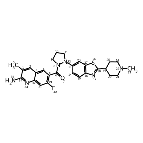 Cc1cc2cc(C(=O)N3CCCN3c3ccc4nc(C5CCN(C)CC5)sc4c3)c(F)cc2nc1N